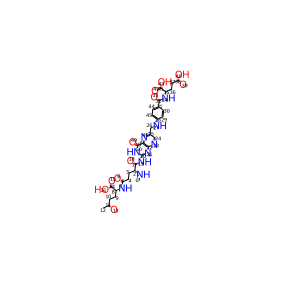 CNC(CCC(=O)NC(CCC(C)=O)C(=O)O)C(=O)Nc1nc2ncc(CNc3ccc(C(=O)NC(CCC(=O)O)C(=O)O)cc3)nc2c(=O)[nH]1